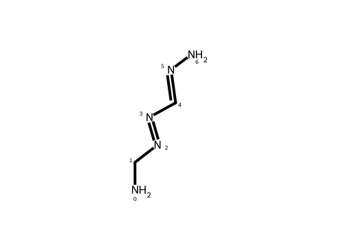 NCN=NC=NN